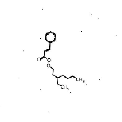 CCCCC(CC)CCOOC(=O)/C=C/c1ccccc1